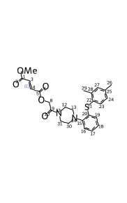 COC(=O)/C=C/C(=O)OCC(=O)N1CCN(c2ccccc2Sc2ccc(C)cc2C)CC1